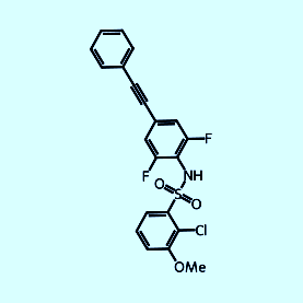 COc1cccc(S(=O)(=O)Nc2c(F)cc(C#Cc3ccccc3)cc2F)c1Cl